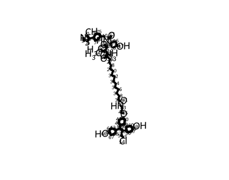 Cc1ncsc1-c1ccc(CNC(=O)[C@@H]2C[C@@H](O)CN2C(=O)[C@@H](NC(=O)CCCCCCCCCCCCCCC(=O)NCCOc2ccc(C(=C(CCCl)c3ccc(O)cc3)c3ccc(O)cc3)cc2)C(C)(C)C)cc1